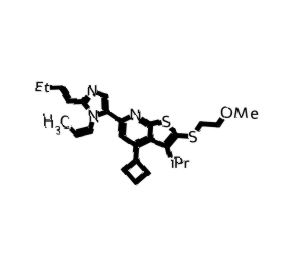 C/C=C\n1c(-c2cc(C3CCC3)c3c(C(C)C)c(SCCOC)sc3n2)cnc1/C=C/CC